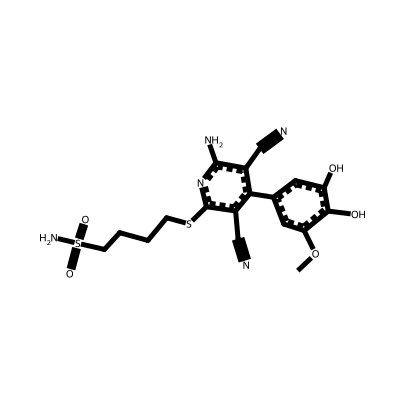 COc1cc(-c2c(C#N)c(N)nc(SCCCCS(N)(=O)=O)c2C#N)cc(O)c1O